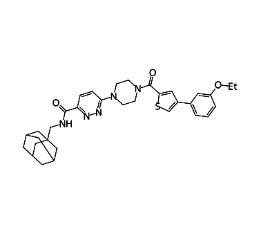 CCOc1cccc(-c2csc(C(=O)N3CCN(c4ccc(C(=O)NCC56CC7CC(CC(C7)C5)C6)nn4)CC3)c2)c1